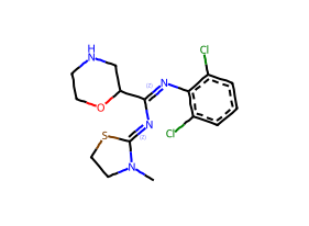 CN1CCS/C1=N\C(=N/c1c(Cl)cccc1Cl)C1CNCCO1